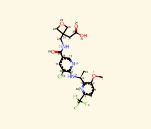 COc1ccc(C(F)(F)F)nc1[C@H](C)Nc1ncc(C(=O)NCC2(CC(=O)O)COC2)cc1Cl